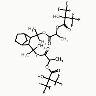 CC(OC(=O)C(O)(C(F)(F)F)C(F)(F)F)C(=O)OC(C)(C)C1C2CCC(C2)C1C(C)(C)OC(=O)C(C)OC(=O)C(O)(C(F)(F)F)C(F)(F)F